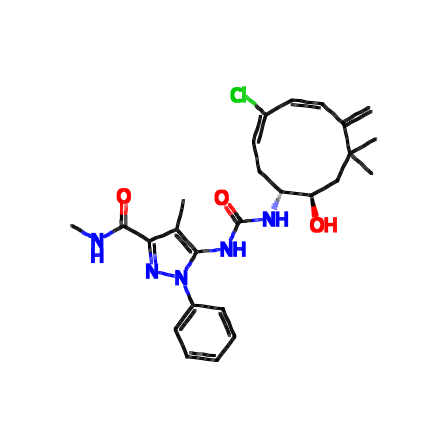 C=C1/C=C\C(Cl)=C/C[C@@H](NC(=O)Nc2c(C)c(C(=O)NC)nn2-c2ccccc2)[C@H](O)CC1(C)C